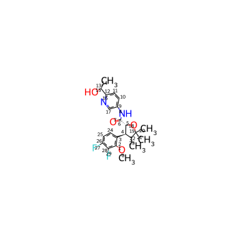 COc1c([C@H]2[C@H](C(=O)Nc3ccc([C@H](C)O)nc3)OC(C)(C)[C@H]2C)ccc(F)c1F